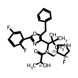 C[C@H](O)C(=O)N(C[C@@H]1CNC[C@@H]1F)C(c1nc(-c2cc(F)ccc2F)oc1Cc1ccccc1)C(C)(C)C